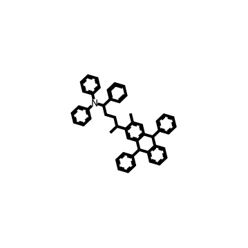 Cc1cc2c(cc1C(C)CCC(C1=C=C=CC=C1)N(c1ccccc1)c1ccccc1)C(c1ccccc1)c1ccccc1C2c1ccccc1